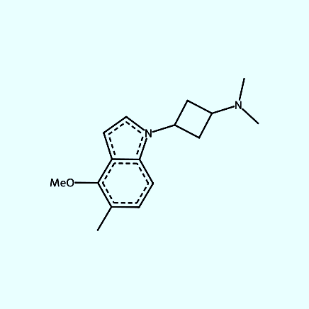 COc1c(C)ccc2c1ccn2C1CC(N(C)C)C1